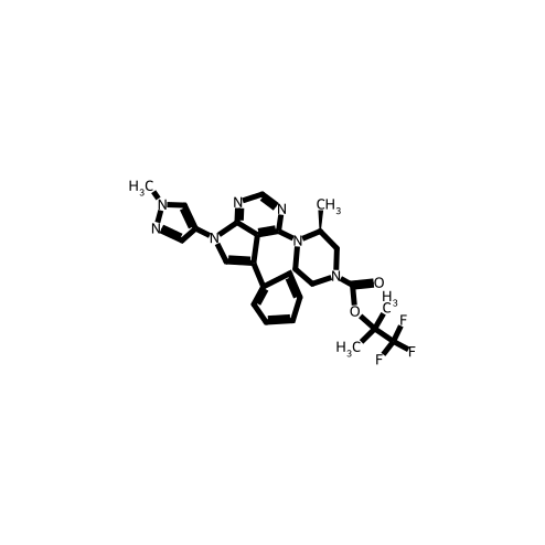 C[C@H]1CN(C(=O)OC(C)(C)C(F)(F)F)CCN1c1ncnc2c1c(-c1ccccc1)cn2-c1cnn(C)c1